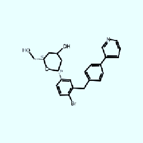 OC[C@@H]1CC(O)C[C@H](c2ccc(Br)c(Cc3ccc(-c4cccnc4)cc3)c2)O1